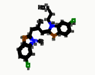 CCC(=Cc1sc2ccc(Cl)cc2[n+]1CC)C=C1Sc2ccc(Cl)cc2N1CCS(=O)(=O)O